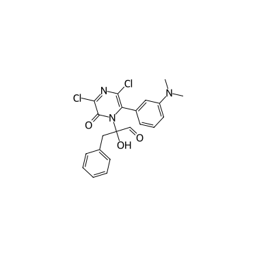 CN(C)c1cccc(-c2c(Cl)nc(Cl)c(=O)n2C(O)(C=O)Cc2ccccc2)c1